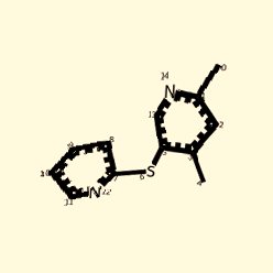 Cc1cc(C)c(Sc2ccccn2)cn1